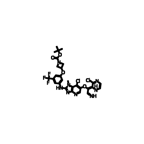 Cn1c(Nc2cc(OC3CN(C(=O)OC(C)(C)C)C3)cc(C(F)(F)F)c2)nc2ncc(O/C(C=N)=C3/NC=CN=C3Cl)c(Cl)c21